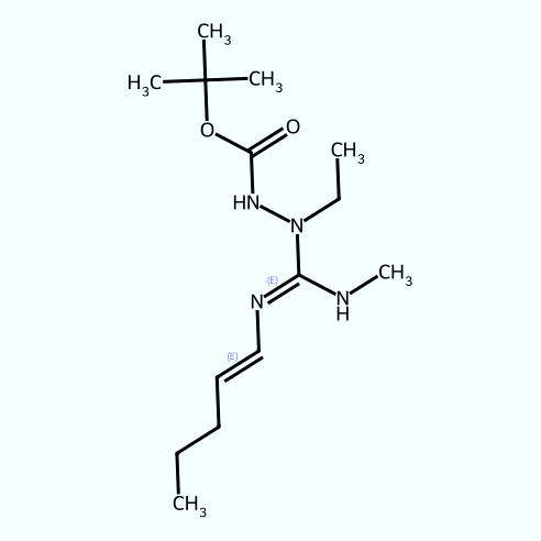 CCC/C=C/N=C(\NC)N(CC)NC(=O)OC(C)(C)C